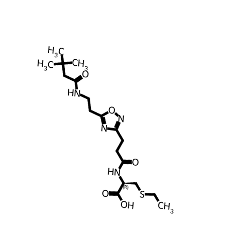 CCSC[C@H](NC(=O)CCc1noc(CCNC(=O)CC(C)(C)C)n1)C(=O)O